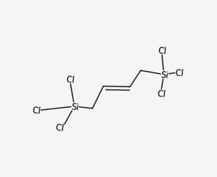 Cl[Si](Cl)(Cl)CC=CC[Si](Cl)(Cl)Cl